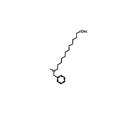 CCCCCCCCCCCCCCCCCCCCCCN(C)Cc1ccccc1